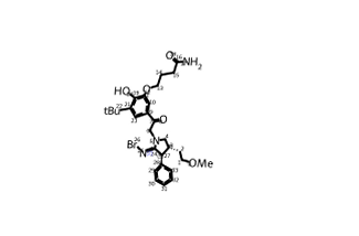 COCC[C@H]1CN(CC(=O)c2cc(OCCCC(N)=O)c(O)c(C(C)(C)C)c2)/C(=N\Br)[C@@H]1c1ccccc1